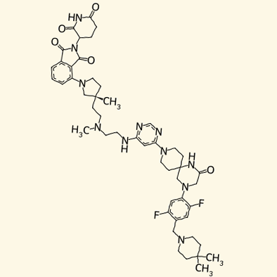 CN(CCNc1cc(N2CCC3(CC2)CN(c2cc(F)c(CN4CCC(C)(C)CC4)cc2F)CC(=O)N3)ncn1)CC[C@@]1(C)CCN(c2cccc3c2C(=O)N(C2CCC(=O)NC2=O)C3=O)C1